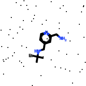 CCC(C)(C)NCc1ccnc(CN)c1